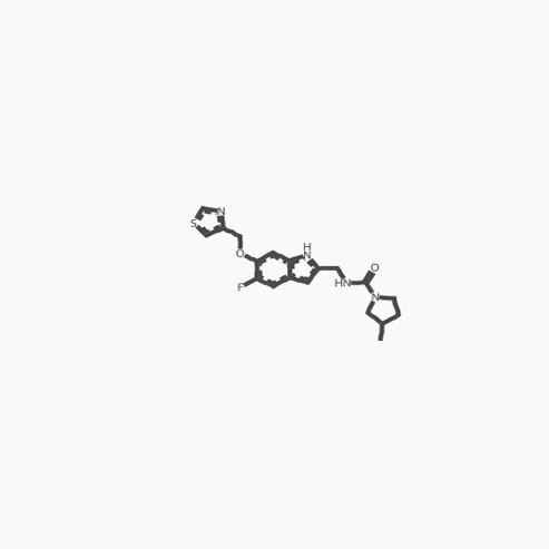 CC1CCN(C(=O)NCc2cc3cc(F)c(OCc4cscn4)cc3[nH]2)C1